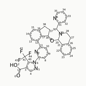 O=C(O)c1cnn(-c2cccc(-c3cccc4c3C(OC3c5ccccc5CCN3Cc3ccccn3)CC4)n2)c1C(F)(F)F